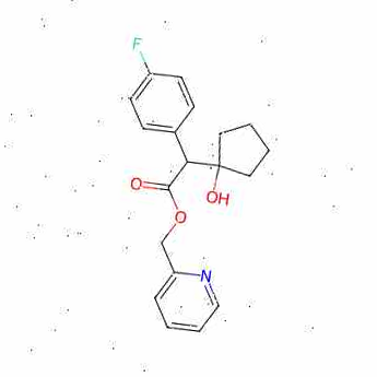 O=C(OCc1ccccn1)C(c1ccc(F)cc1)C1(O)CCCC1